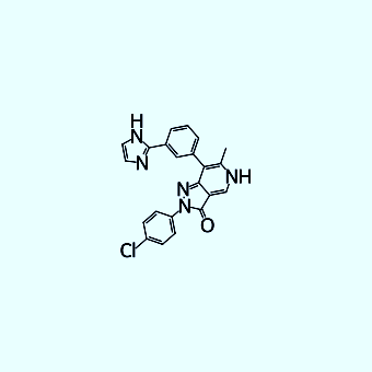 Cc1[nH]cc2c(=O)n(-c3ccc(Cl)cc3)nc-2c1-c1cccc(-c2ncc[nH]2)c1